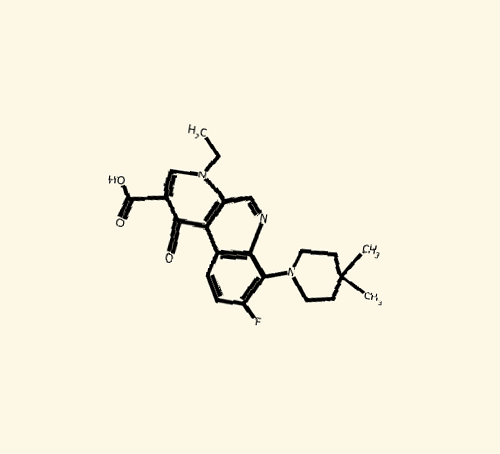 CCn1cc(C(=O)O)c(=O)c2c3ccc(F)c(N4CCC(C)(C)CC4)c3ncc21